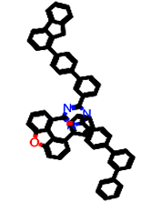 c1ccc(-c2cccc(-c3ccc(-c4nc(-c5cccc(-c6ccc(-c7cccc8c7Cc7ccccc7-8)cc6)c5)nc(-c5cccc6oc7cccc(-c8ccccc8)c7c56)n4)cc3)c2)cc1